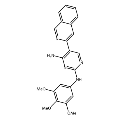 COc1cc(Nc2ncc(-c3cc4ccccc4cn3)c(N)n2)cc(OC)c1OC